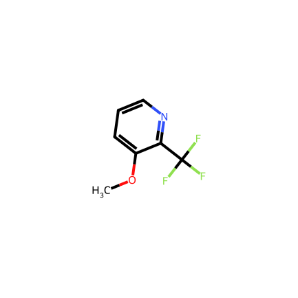 COc1cccnc1C(F)(F)F